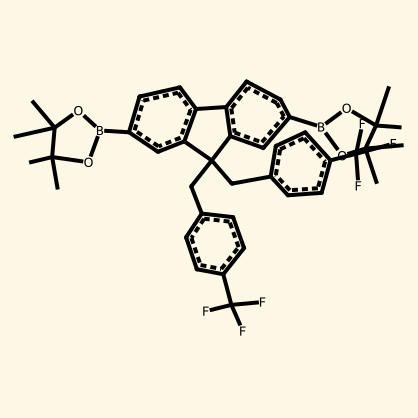 CC1(C)OB(c2ccc3c(c2)C(Cc2ccc(C(F)(F)F)cc2)(Cc2ccc(C(F)(F)F)cc2)c2cc(B4OC(C)(C)C(C)(C)O4)ccc2-3)OC1(C)C